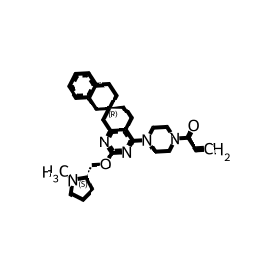 C=CC(=O)N1CCN(c2nc(OC[C@@H]3CCCN3C)nc3c2CC[C@@]2(CCc4ccccc4C2)C3)CC1